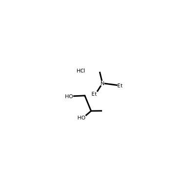 CC(O)CO.CCN(C)CC.Cl